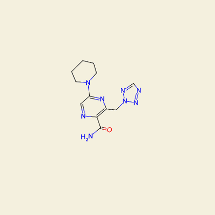 NC(=O)c1ncc(N2CCCCC2)nc1Cn1ncnn1